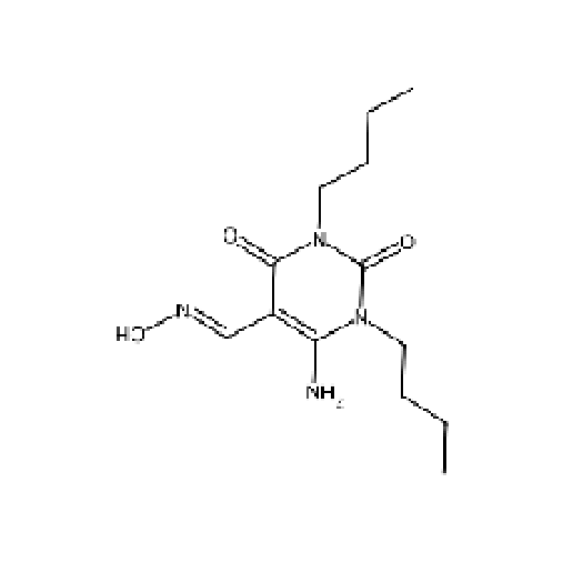 CCCCn1c(N)c(/C=N/O)c(=O)n(CCCC)c1=O